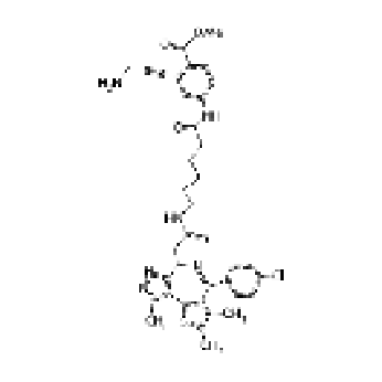 COC(=O)c1ccc(NC(=O)CCCCCNC(=O)C[C@@H]2N=C(c3ccc(Cl)cc3)c3c(sc(C)c3C)-n3c(C)nnc32)cc1C#CCN